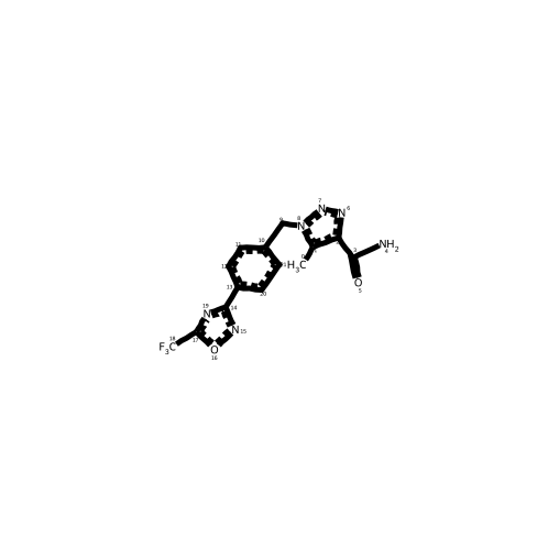 Cc1c(C(N)=O)nnn1Cc1ccc(-c2noc(C(F)(F)F)n2)cc1